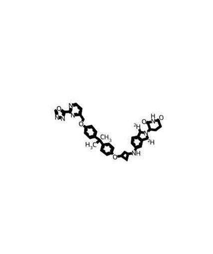 [2H]C1c2ccc(NC3CC(Oc4ccc(C(C)(C)c5ccc(OCc6ccnc(-c7nnco7)n6)cc5)cc4)C3)cc2C([2H])N1C1CCC(=O)NC1=O